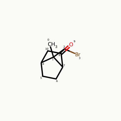 CC1(CBr)C2CCC1C(=O)C2